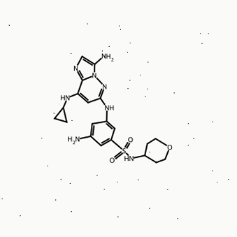 Nc1cc(Nc2cc(NC3CC3)c3ncc(N)n3n2)cc(S(=O)(=O)NC2CCOCC2)c1